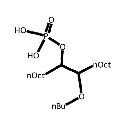 CCCCCCCCC(OCCCC)C(CCCCCCCC)OP(=O)(O)O